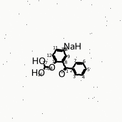 O=C(c1ccccc1)c1ccccc1OC(O)O.[NaH]